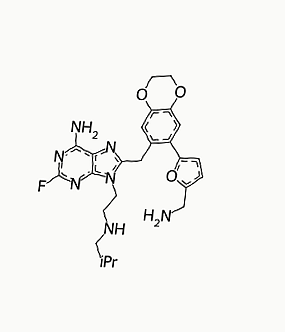 CC(C)CNCCn1c(Cc2cc3c(cc2-c2ccc(CN)o2)OCCO3)nc2c(N)nc(F)nc21